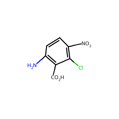 Nc1ccc([N+](=O)[O-])c(Cl)c1C(=O)O